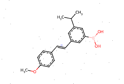 COc1ccc(/C=C/c2cc(B(O)O)cc(C(C)C)c2)cc1